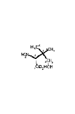 CC(C)(C)[C@@H](N)C(=O)O.Cl